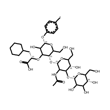 CC(=O)NC1C(O[C@@H]2OC(CO)[C@H](O)C(O)C2O)[C@@H](O)C(CO)O[C@H]1O[C@H]1C(CO)O[C@@H](Oc2ccc(I)cc2)C(O)C1O[C@@H](CC1CCCCC1)C(=O)O